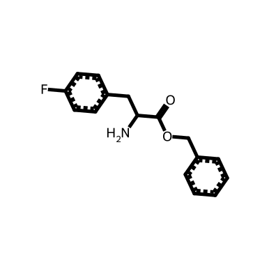 NC(Cc1ccc(F)cc1)C(=O)OCc1ccccc1